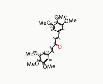 COc1cc(/C=C/C(=O)/C=C/c2cc(OC)c(OC)c(OC)c2)cc(OC)c1OC